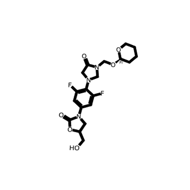 O=C1CN(c2c(F)cc(N3CC(CO)OC3=O)cc2F)CN1CO[C@@H]1CCCCO1